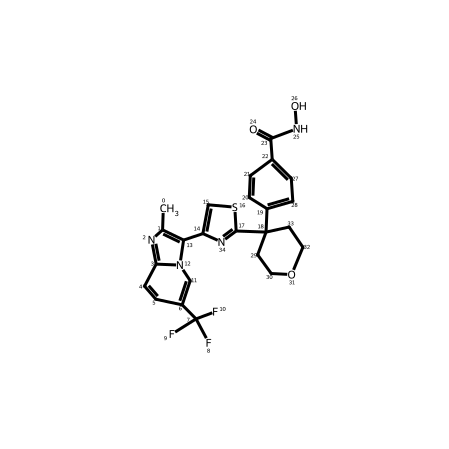 Cc1nc2ccc(C(F)(F)F)cn2c1-c1csc(C2(c3ccc(C(=O)NO)cc3)CCOCC2)n1